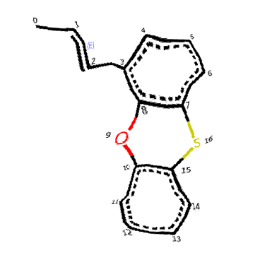 C/C=C/c1cccc2c1Oc1ccccc1S2